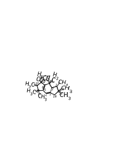 CC1C2C(=CC3=C(C2(C)C)C(C)(C)C(C)C3(C)C)CC1(C)C